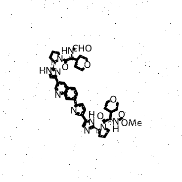 COC(=O)N[C@H](C(=O)N1CCC[C@H]1c1ncc(-c2ccc(-c3ccc4cc(-c5c[nH]c([C@@H]6CCCN6C(=O)[C@@H](NC=O)C6CCOCC6)n5)cnc4c3)nc2)[nH]1)C1CCOCC1